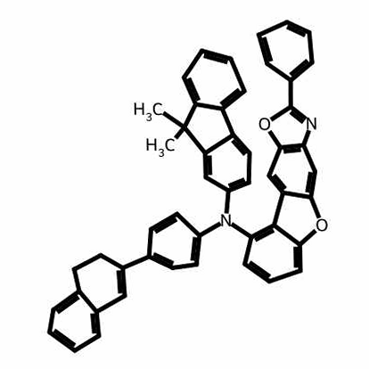 CC1(C)c2ccccc2-c2ccc(N(c3ccc(C4=Cc5ccccc5CC4)cc3)c3cccc4oc5cc6nc(-c7ccccc7)oc6cc5c34)cc21